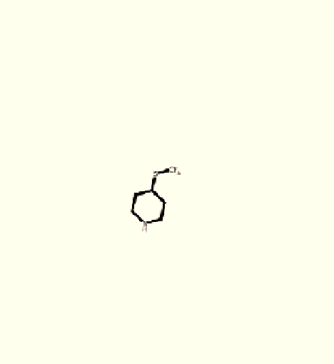 FC(F)(F)SC1CCNCC1